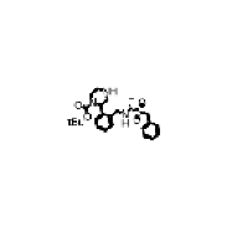 CC(C)(C)OC(=O)N1CCNCC1c1ccccc1CNNS(=O)(=O)Cc1ccccc1